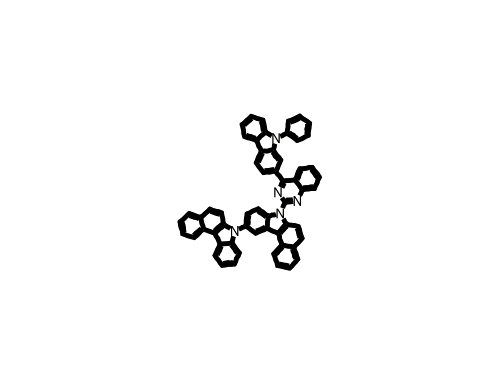 c1ccc(-n2c3ccccc3c3ccc(-c4nc(-n5c6ccc(-n7c8ccccc8c8c9ccccc9ccc87)cc6c6c7ccccc7ccc65)nc5ccccc45)cc32)cc1